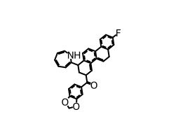 O=C(c1ccc2c(c1)OCO2)C1C=c2c(ccc3c2=CCc2cc(F)ccc2-3)C(C2=CC=CC=CN2)C1